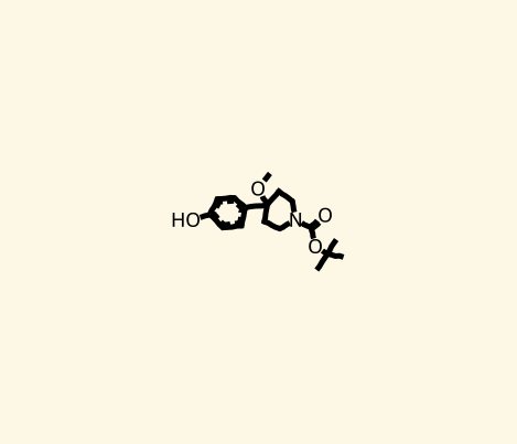 COC1(c2ccc(O)cc2)CCN(C(=O)OC(C)(C)C)CC1